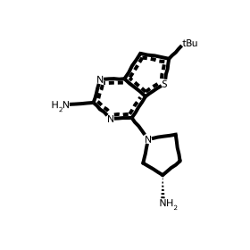 CC(C)(C)c1cc2nc(N)nc(N3CC[C@H](N)C3)c2s1